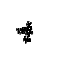 CC(C)(C)S(=O)(=O)Nc1cc(C(F)(F)F)ccc1C(=O)NCCC1(C(F)(F)F)CCC1